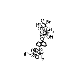 CC(C)OC(=O)[C@H](C)N[PH](=O)Oc1cccc2c(OC[C@@]3(F)O[C@@H](n4cc(Br)c(=O)[nH]c4=O)[C@](C)(F)[C@@H]3O)cccc12